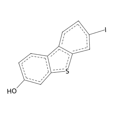 Oc1ccc2c(c1)sc1cc(I)ccc12